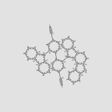 N#Cc1ccc(-c2ccc(C#N)cc2-n2c3ccccc3c3ccc4oc5ccccc5c4c32)c(-n2c3ccccc3c3ccccc32)c1